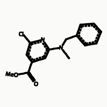 COC(=O)c1cc(Cl)nc(N(C)Cc2ccccc2)c1